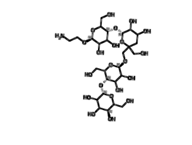 NCCO[C@H]1OC(CO)[C@H](O[C@H]2OC(CO)(CO[C@@H]3OC(CO)[C@@H](O[C@@H]4OC(CO)[C@@H](O)C(O)C4O)C(O)C3O)CC(O)C2O)C(O)C1O